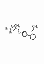 CCCC1CCCCC1c1ccc(OCC(C)C[Si](Br)(Br)Br)cc1